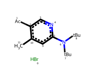 Br.CC(=O)c1cnc(N(C(C)(C)C)C(C)(C)C)cc1C